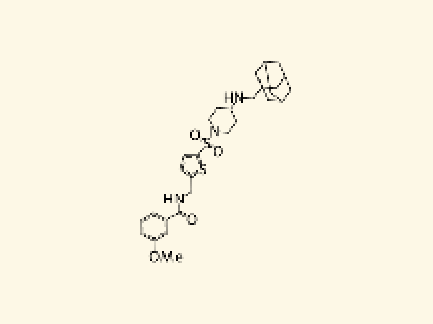 COc1cccc(C(=O)NCc2ccc(S(=O)(=O)N3CCC(NCC45CC6CC(CC(C6)C4)C5)CC3)s2)c1